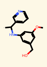 [CH2]C(Nc1cc(CO)cc(OC)c1)c1cccnc1